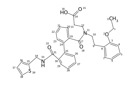 CCOc1ccccc1CCN(CCC(=O)O)C(=O)c1ccccc1-c1ccccc1C(=O)NCc1cccs1